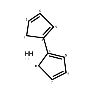 C1=CCC(C2=CC=CC2)=C1.[HH]